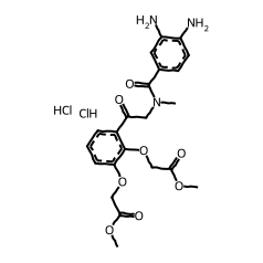 COC(=O)COc1cccc(C(=O)CN(C)C(=O)c2ccc(N)c(N)c2)c1OCC(=O)OC.Cl.Cl